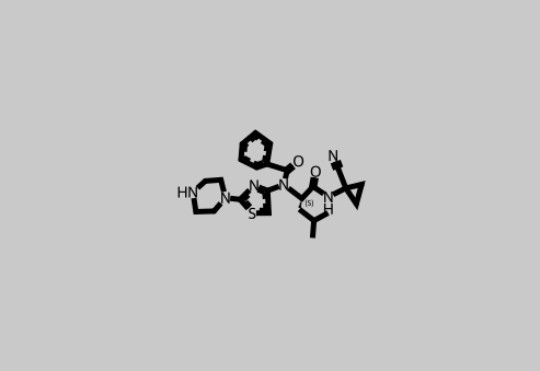 CC(C)C[C@@H](C(=O)NC1(C#N)CC1)N(C(=O)c1ccccc1)c1csc(N2CCNCC2)n1